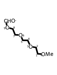 COCCOCCOCCO[C]=O